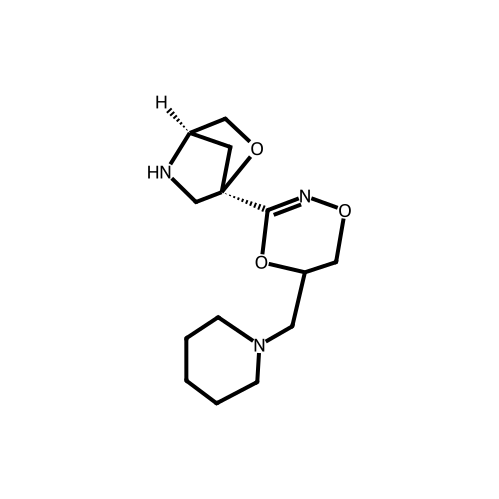 C1CCN(CC2CON=C([C@@]34CN[C@@H](CO3)C4)O2)CC1